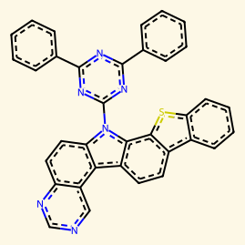 c1ccc(-c2nc(-c3ccccc3)nc(-n3c4ccc5ncncc5c4c4ccc5c6ccccc6sc5c43)n2)cc1